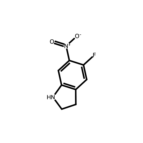 O=[N+]([O-])c1cc2c(cc1F)CCN2